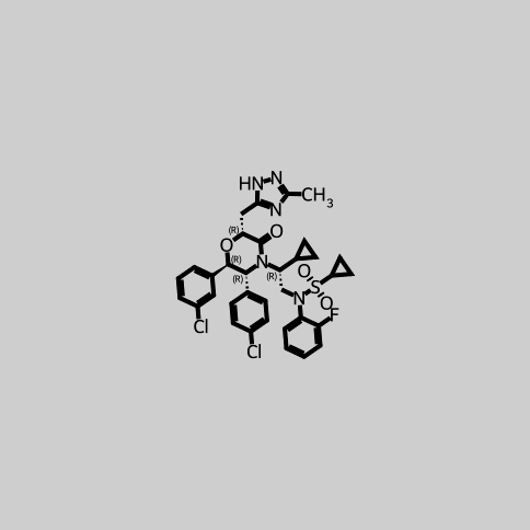 Cc1n[nH]c(C[C@H]2O[C@H](c3cccc(Cl)c3)[C@@H](c3ccc(Cl)cc3)N([C@@H](CN(c3ccccc3F)S(=O)(=O)C3CC3)C3CC3)C2=O)n1